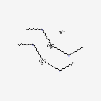 CCCCCCCC/C=C\CCCCCCCCOP(=O)([O-])CCCCCCCC/C=C\CCCCCCCC.CCCCCCCC/C=C\CCCCCCCCOP(=O)([O-])CCCCCCCC/C=C\CCCCCCCC.[Ni+2]